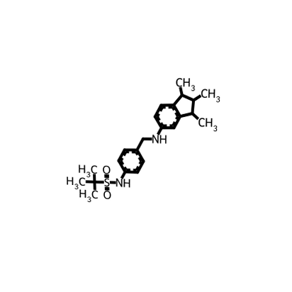 CC1c2ccc(NCc3ccc(NS(=O)(=O)C(C)(C)C)cc3)cc2C(C)C1C